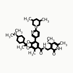 CSc1cc(C)[nH]c(=O)c1CNC(=O)c1cc(-c2ccc(N3CC(C)CC(C)C3)nc2)c2c(c1C)OC(C)(C1CCC(N(C)C)CC1)O2